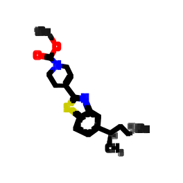 CC[C@@H](C)CC[C@@H](C)c1ccc2sc(C3=CCN(C(=O)OC(C)(C)C)CC3)nc2c1